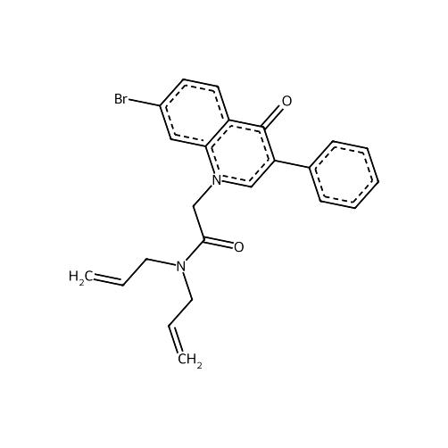 C=CCN(CC=C)C(=O)Cn1cc(-c2ccccc2)c(=O)c2ccc(Br)cc21